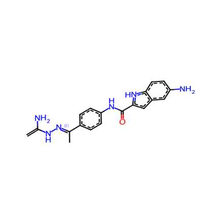 C=C(N)N/N=C(\C)c1ccc(NC(=O)c2cc3cc(N)ccc3[nH]2)cc1